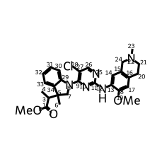 COC(=O)C(C)C1(C)CN(c2nc(Nc3cc4c(cc3OC)CCN(C)C4)ncc2Cl)c2ccccc21